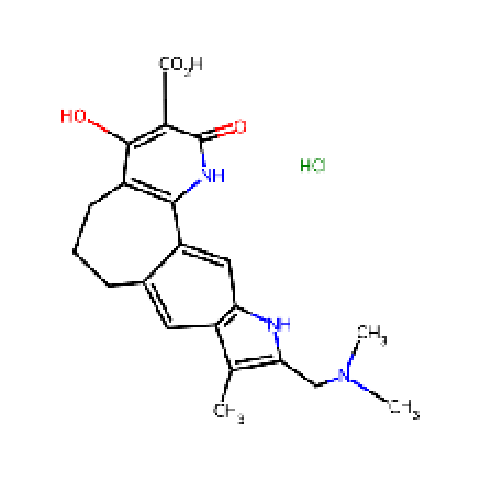 Cc1c(CN(C)C)[nH]c2cc3c(cc12)CCCc1c-3[nH]c(=O)c(C(=O)O)c1O.Cl